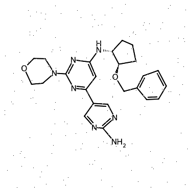 Nc1ncc(-c2cc(N[C@@H]3CCC[C@H]3OCc3ccccc3)nc(N3CCOCC3)n2)cn1